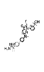 C=CCn1c(=O)c2cnc(Nc3ccc(C4CCC(NC(=N)N)CC4)cc3)nc2n1-c1cccc(C(C)(C)O)n1